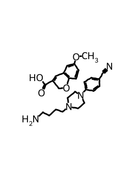 COc1ccc2c(c1)C=C(C(=O)O)CO2.N#Cc1ccc(N2CCN(CCCCN)CC2)cc1